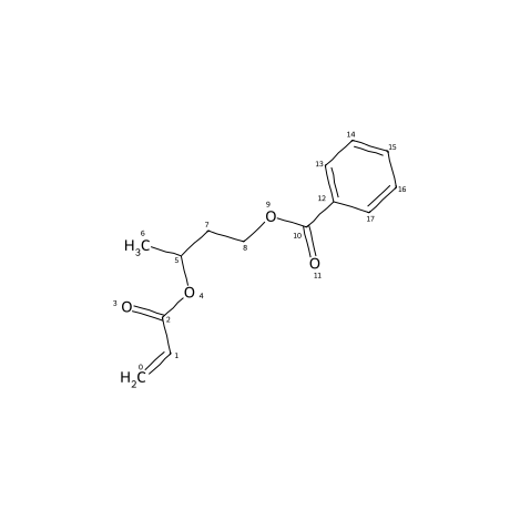 C=CC(=O)OC(C)CCOC(=O)c1ccccc1